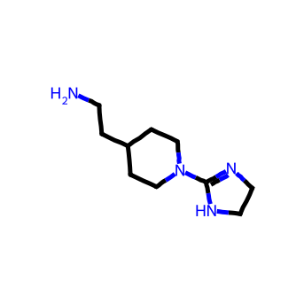 NCCC1CCN(C2=NCCN2)CC1